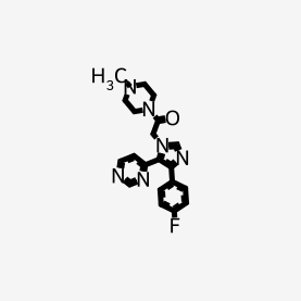 CN1CCN(C(=O)Cn2cnc(-c3ccc(F)cc3)c2-c2ccncn2)CC1